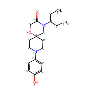 CCC(CC)N1CC2(CCN(c3ccc(O)cc3)CC2)OCC1=O